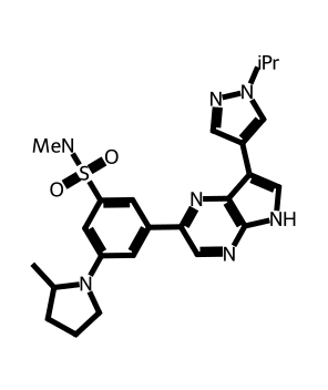 CNS(=O)(=O)c1cc(-c2cnc3[nH]cc(-c4cnn(C(C)C)c4)c3n2)cc(N2CCCC2C)c1